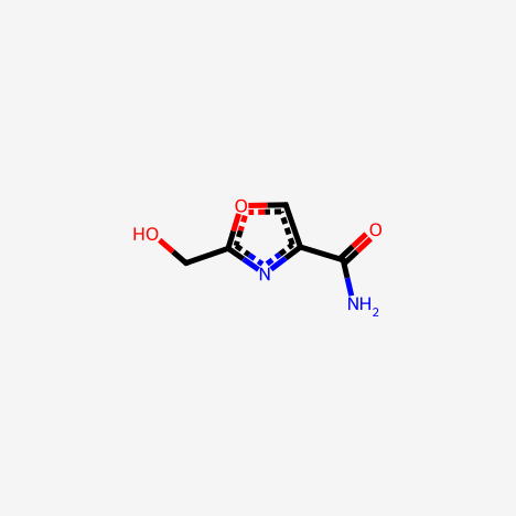 NC(=O)c1coc(CO)n1